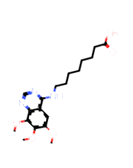 COc1cc2c(NCCCCCCCC(=O)O)ncnc2c(OC)c1OC